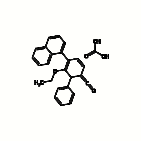 CCOC1=C(c2cccc3ccccc23)C=CC(=C=O)C1c1ccccc1.O=C(O)O